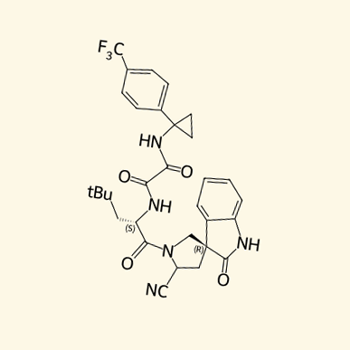 CC(C)(C)C[C@H](NC(=O)C(=O)NC1(c2ccc(C(F)(F)F)cc2)CC1)C(=O)N1C[C@]2(CC1C#N)C(=O)Nc1ccccc12